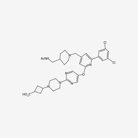 CC(=O)NCC1CCN(Cc2cc(Oc3cnc(N4CCN(C5CC(C(=O)O)C5)CC4)nc3)nc(-c3cc(Cl)cc(Cl)c3)c2)CC1